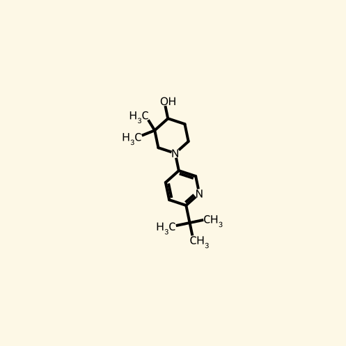 CC(C)(C)c1ccc(N2CCC(O)C(C)(C)C2)cn1